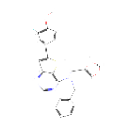 COc1ccc(-c2cc3ncnc(N(CC4=COCO4)Cc4ccccc4)c3s2)cc1F